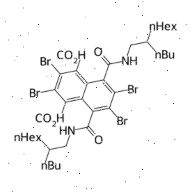 CCCCCCC(CCCC)CNC(=O)c1c(Br)c(Br)c(C(=O)NCC(CCCC)CCCCCC)c2c(C(=O)O)c(Br)c(Br)c(C(=O)O)c12